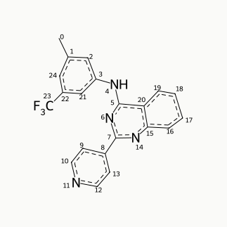 Cc1cc(Nc2nc(-c3ccncc3)nc3ccccc23)cc(C(F)(F)F)c1